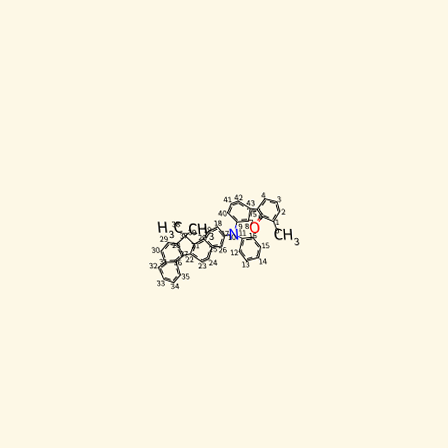 Cc1cccc2c1oc1c(N(c3ccccc3)c3ccc4c5c(ccc4c3)-c3c(ccc4ccccc34)C5(C)C)cccc12